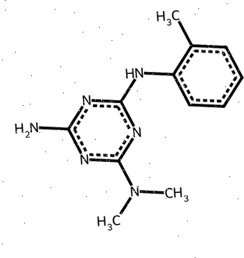 Cc1ccccc1Nc1nc(N)nc(N(C)C)n1